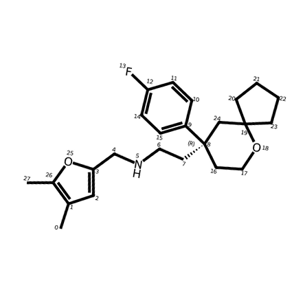 Cc1cc(CNCC[C@@]2(c3ccc(F)cc3)CCOC3(CCCC3)C2)oc1C